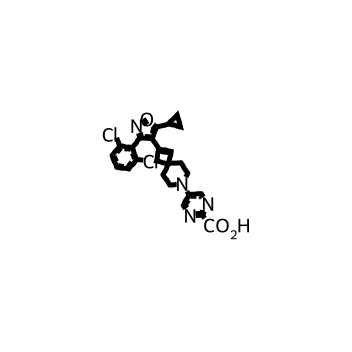 O=C(O)c1ncc(N2CCC3(C=C(c4c(-c5c(Cl)cccc5Cl)noc4C4CC4)C3)CC2)cn1